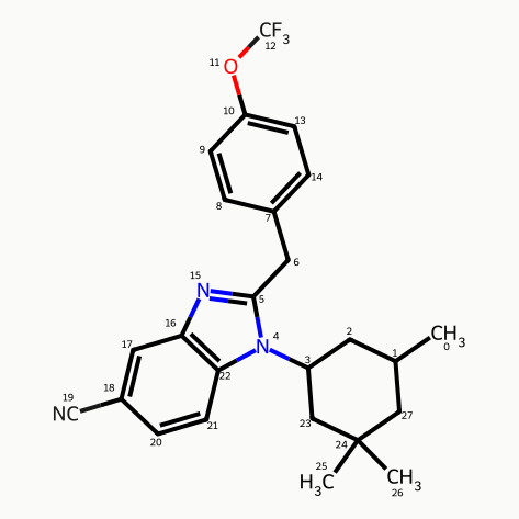 CC1CC(n2c(Cc3ccc(OC(F)(F)F)cc3)nc3cc(C#N)ccc32)CC(C)(C)C1